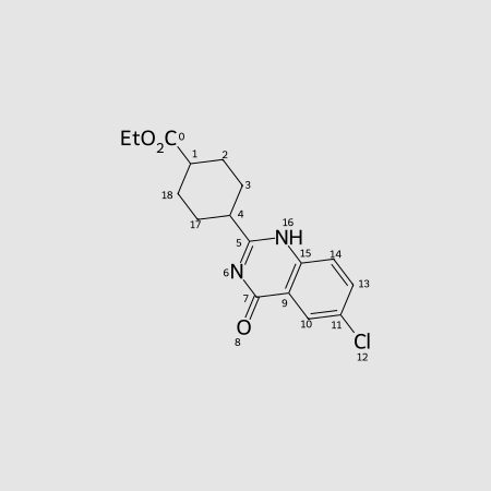 CCOC(=O)C1CCC(c2nc(=O)c3cc(Cl)ccc3[nH]2)CC1